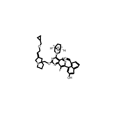 C#Cc1cccc2cc(O)cc(-c3ncc4c(N5C[C@H]6CC[C@@H](C5)N6)nc(OCC56CCCN5CC(=CCOCC5CC5)C6)nc4c3F)c12